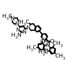 Cc1cc(C)c(N(C(=O)c2ccc(-c3ccc4c(c3)CN(c3cc(N5CCN(C)CC5)nc(N)n3)C(C)C4)cn2)c2c(C)cc(C)cc2C)c(C)c1